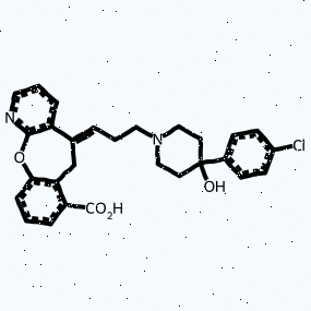 O=C(O)c1cccc2c1CC(=CCCN1CCC(O)(c3ccc(Cl)cc3)CC1)c1cccnc1O2